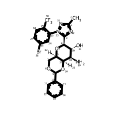 Cc1nc([C@@H]2O[C@@H]3COC(c4ccccc4)O[C@@H]3[C@H](N)[C@H]2O)n(-c2cc(Br)ccc2C(F)(F)F)n1